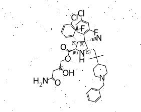 CC(C)(C[C@@H]1N[C@@H](C(=O)OC[C@@H](O)CC(N)=O)[C@H](c2cccc(Cl)c2F)[C@@]1(C#N)c1ccc(Cl)cc1F)C1CCN(Cc2ccccc2)CC1